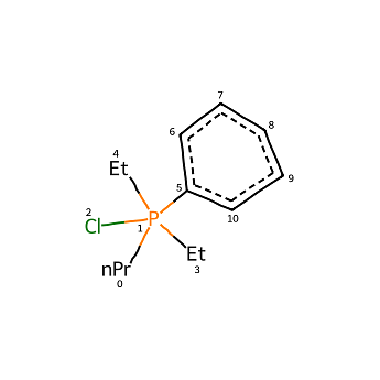 CCCP(Cl)(CC)(CC)c1ccccc1